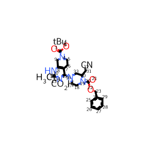 CC(C)(C)OC(=O)N1CCC2=C(C1)N[C@](C)(C(=O)O)N=C2N1CCN(C(=O)OCc2ccccc2)C(CC#N)C1